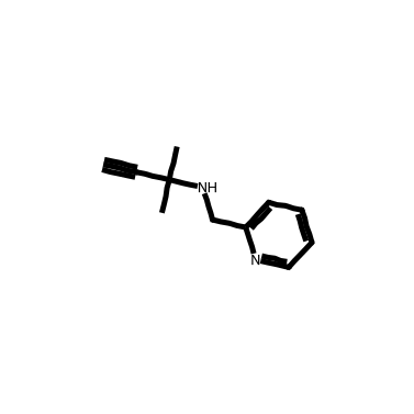 C#CC(C)(C)NCc1ccccn1